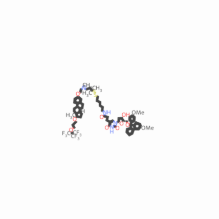 COc1ccc(C(OC[C@H]2O[C@@H](n3cc(CCC(=O)NCCCCCCSSC(C)(C)CCN(C)CCOc4ccc5c(c4)CCC4C5CC[C@]5(C)[C@@H](OCCCOC(C(F)(F)F)(C(F)(F)F)C(F)(F)F)CC[C@@H]45)c(=O)[nH]c3=O)C[C@@H]2O)(c2ccccc2)c2ccc(OC)cc2)cc1